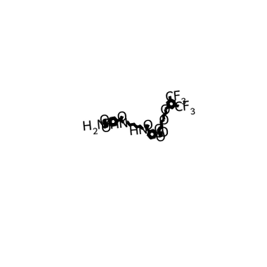 NS(=O)(=O)c1ccc(C(=O)NCCCCCNC(=O)c2cccc(S(=O)(=O)OCCOCCOc3cc(C(F)(F)F)cc(C(F)(F)F)c3)c2)cc1